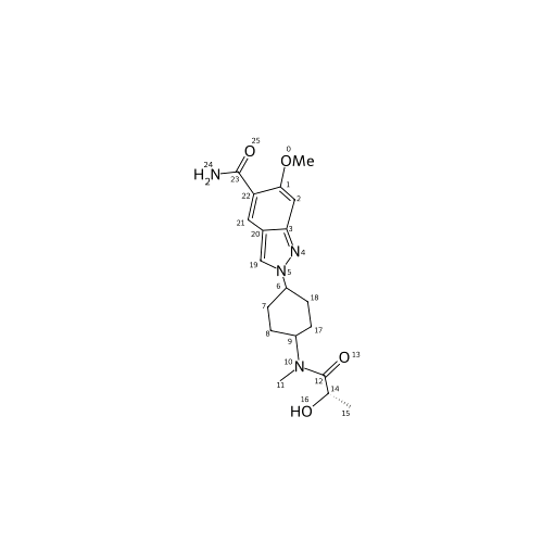 COc1cc2nn(C3CCC(N(C)C(=O)[C@H](C)O)CC3)cc2cc1C(N)=O